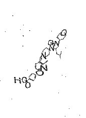 Cc1nc(Oc2ccc(C(=O)O)cc2)ccc1CN1CCC(N2C(=O)N(C3CCOCC3)C[C@H]2CC(C)C)CC1